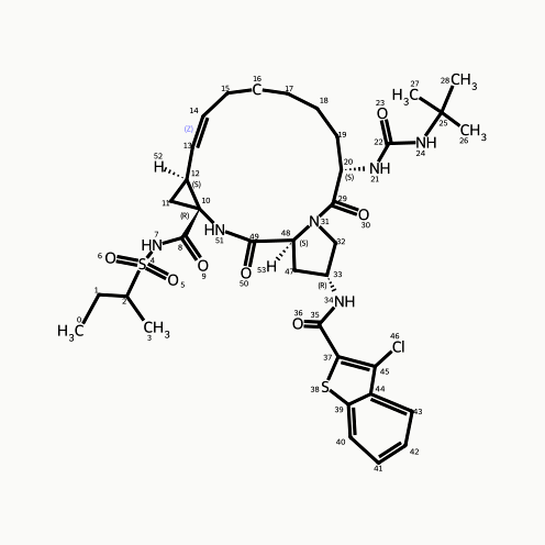 CCC(C)S(=O)(=O)NC(=O)[C@@]12C[C@H]1/C=C\CCCCC[C@H](NC(=O)NC(C)(C)C)C(=O)N1C[C@H](NC(=O)c3sc4ccccc4c3Cl)C[C@H]1C(=O)N2